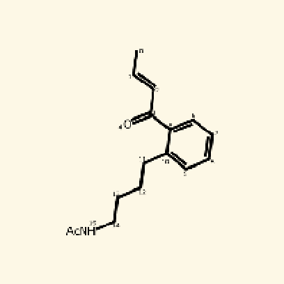 CC=CC(=O)c1ccccc1CCCCNC(C)=O